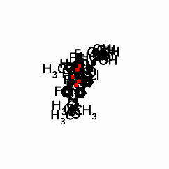 C[C@@H]1Cc2c(C(F)(F)F)nn(CC(=O)N[C@@H](Cc3cc(F)cc(F)c3)c3nc(CCC(C)(C)S(C)(=O)=O)ccc3-c3ccc(Cl)c4c(N(C(=O)NCCCC(O)(P(=O)(O)O)P(=O)(O)O)S(C)(=O)=O)nn(CC(F)(F)F)c34)c2C1(F)F